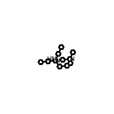 C1=C(c2ccc(-c3ccccc3)cc2)NC(c2ccc(-c3ccccc3)cc2)N=C1c1cccc(-c2ccc3ccc4nc(-c5ccccc5)cc(-c5ccccc5)c4c3c2)c1